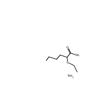 CCCCC(OCC)C(=O)O.[SrH2]